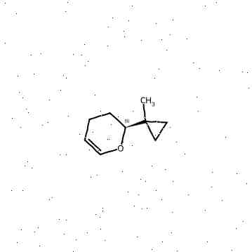 CC1([C@@H]2CCC=CO2)CC1